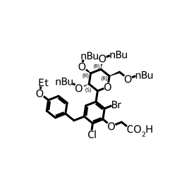 CCCCOC[C@H]1OC(c2cc(Cc3ccc(OCC)cc3)c(Cl)c(OCC(=O)O)c2Br)[C@H](OCCCC)[C@@H](OCCCC)[C@@H]1OCCCC